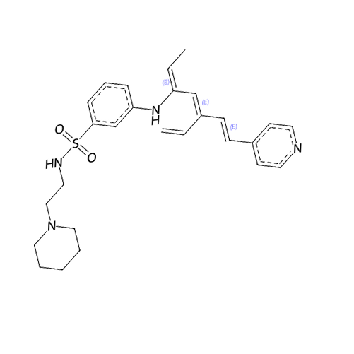 C=CC(/C=C/c1ccncc1)=C\C(=C/C)Nc1cccc(S(=O)(=O)NCCN2CCCCC2)c1